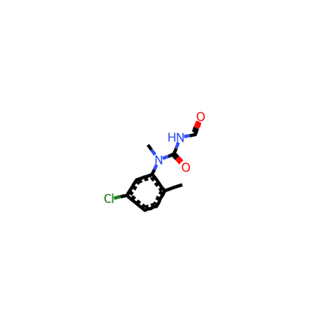 Cc1ccc(Cl)cc1N(C)C(=O)NC=O